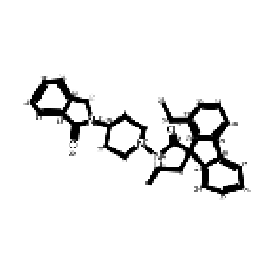 CCCC1(C(=O)NN2CCC(N3Cc4ccccc4C3=O)CC2)c2ccccc2-c2cccc(CC)c21